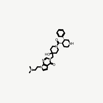 CN(C)CCn1ccc2c(=O)n(CC3(O)CCN(C(=O)[C@@H]4CCNC[C@H]4c4ccccc4)CC3)cnc21